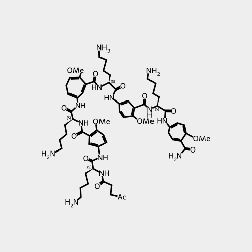 COC1=CC=C(NC(=O)[C@H](CCCCN)NC(=O)c2cc(NC(=O)[C@H](CCCCN)NC(=O)C3=CC(NC(=O)[C@H](CCCCN)NC(=O)c4cc(NC(=O)[C@H](CCCCN)NC(=O)CCC(C)=O)ccc4OC)=CCC=C3OC)ccc2OC)CC=C1C(N)=O